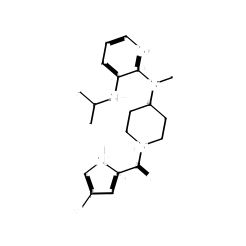 CC(C)Nc1cccnc1N(C)C1CCN(C(=O)c2cc(Br)c[nH]2)CC1